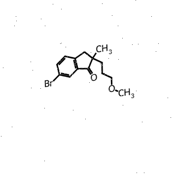 COCCCC1(C)Cc2ccc(Br)cc2C1=O